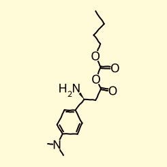 CCCCOC(=O)OC(=O)C[C@H](N)c1ccc(N(C)C)cc1